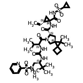 C=C[C@@H]1C[C@]1(NC(=O)[C@@H]1C[C@@]2(CN1C(=O)[C@@H](NC(=O)N[C@H](CN(C)S(=O)(=O)c1ccccn1)C(C)(C)C)C(C)C)C(C)(C)C21CCC1)C(=O)NS(=O)(=O)C1CC1